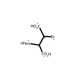 CCCCCC(C(=O)O)C(CC)C(=O)O